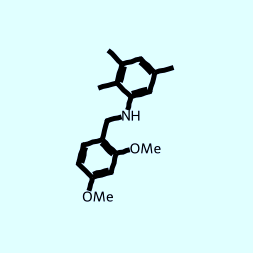 COc1ccc(CNc2cc(C)cc(C)c2C)c(OC)c1